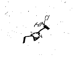 Cc1cnc(C(C)NCl)s1